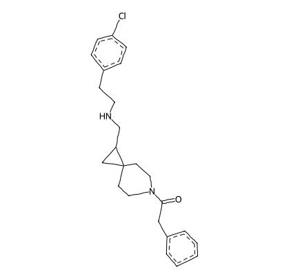 O=C(Cc1ccccc1)N1CCC2(CC1)CC2CNCCc1ccc(Cl)cc1